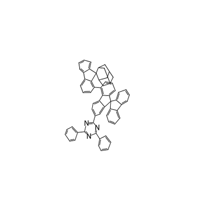 c1ccc(-c2nc(-c3ccccc3)nc(-c3ccc4c(c3)C3(c5ccccc5-c5ccccc53)c3cccc(-c5cccc6c5C5(c7ccccc7-6)C6CC7CC(C6)CC5C7)c3-4)n2)cc1